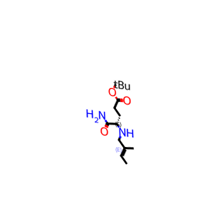 C/C=C(\C)CN[C@@H](CCC(=O)OC(C)(C)C)C(N)=O